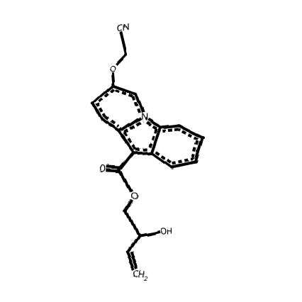 C=CC(O)COC(=O)c1c2ccccc2n2cc(OCC#N)ccc12